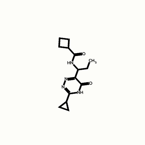 CCC(NC(=O)C1CCC1)c1nnc(C2CC2)[nH]c1=O